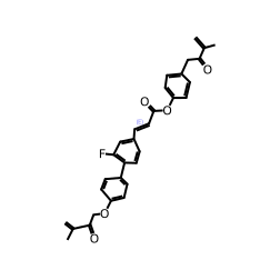 C=C(C)C(=O)COc1ccc(-c2ccc(/C=C/C(=O)Oc3ccc(CC(=O)C(=C)C)cc3)cc2F)cc1